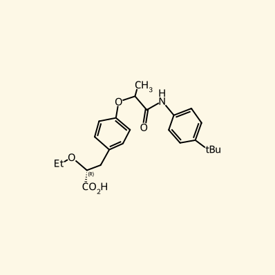 CCO[C@H](Cc1ccc(OC(C)C(=O)Nc2ccc(C(C)(C)C)cc2)cc1)C(=O)O